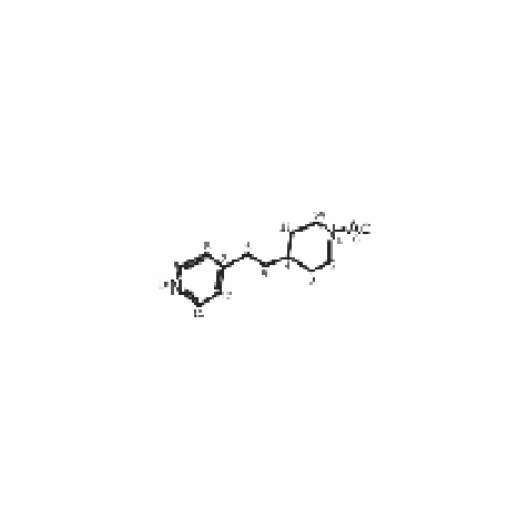 CC(=O)N1CCC(CCc2ccncc2)CC1